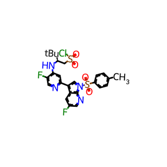 Cc1ccc(S(=O)(=O)n2cc(-c3cc(N[C@H](CS(=O)(=O)Cl)C(C)(C)C)c(F)cn3)c3cc(F)cnc32)cc1